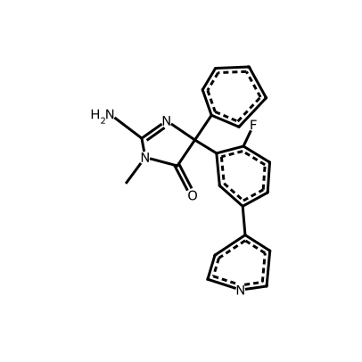 CN1C(=O)C(c2ccccc2)(c2cc(-c3ccncc3)ccc2F)N=C1N